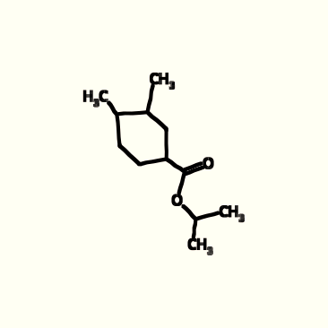 CC(C)OC(=O)C1CCC(C)C(C)C1